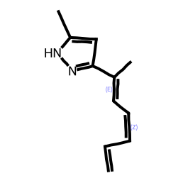 C=C/C=C\C=C(/C)c1cc(C)[nH]n1